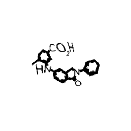 Cc1ccc(C(=O)O)cc1Nc1ccc2c(c1)CN(c1ccccc1)C2=O